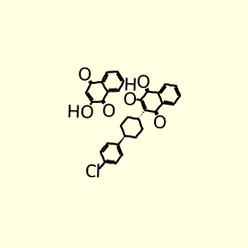 O=C1C(O)=C([C@H]2CC[C@H](c3ccc(Cl)cc3)CC2)C(=O)c2ccccc21.O=C1C=C(O)C(=O)c2ccccc21